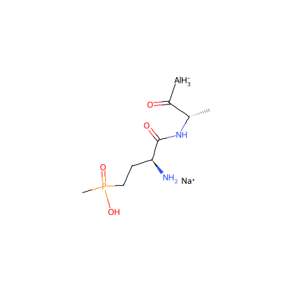 C[C@H](NC(=O)[C@@H](N)CCP(C)(=O)O)[C](=O)[AlH3-].[Na+]